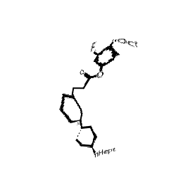 CCCCCCCCc1ccc(OC(=O)CCC2CCC[C@H]([C@H]3CC[C@H](CCCCCCC)CC3)C2)cc1F